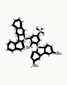 CC(C)(C)c1ccc2c(c1)c1cc(C(C)(C)C)ccc1n2-c1cc([Si](C)(C)C)cc(-n2c3cc4ccccc4cc3c3c4ccccc4ccc32)c1Br